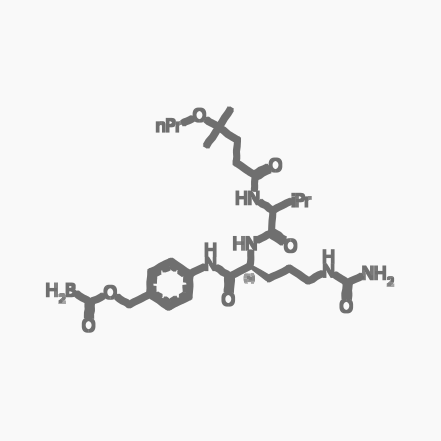 BC(=O)OCc1ccc(NC(=O)[C@H](CCCNC(N)=O)NC(=O)C(NC(=O)CCC(C)(C)OCCC)C(C)C)cc1